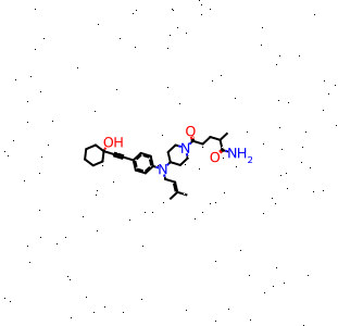 CC(C)=CCN(c1ccc(C#CC2(O)CCCCC2)cc1)C1CCN(C(=O)[CH]CC(C)C(N)=O)CC1